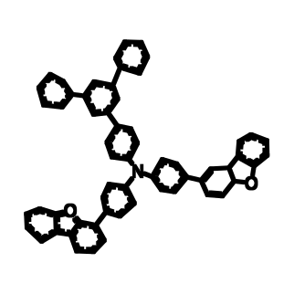 C1=CC2Oc3ccccc3C2C=C1c1ccc(N(c2ccc(-c3cc(-c4ccccc4)cc(-c4ccccc4)c3)cc2)c2ccc(-c3cccc4c3oc3ccccc34)cc2)cc1